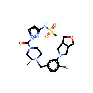 C[C@@H]1CN(C(=O)n2ccc(NS(C)(=O)=O)n2)CCN1Cc1ccc(Cl)c(N2CC3COCC3C2)c1